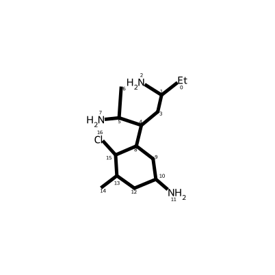 CCC(N)CC(C(C)N)C1CC(N)CC(C)C1Cl